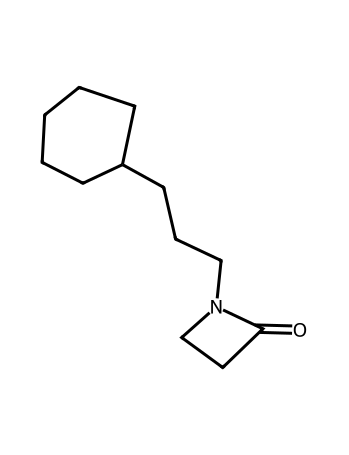 O=C1CCN1CCCC1CCCCC1